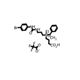 CC[N+](CCCNC(=O)Nc1ccc(Br)cc1)(CCCC(=O)O)[C@@H](C)c1ccccc1.O=C([O-])C(F)(F)F